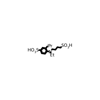 CCN(CCCCS(=O)(=O)O)c1ccc(S(=O)(=O)O)cc1C(C)C